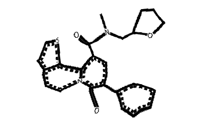 CN(CC1CCCO1)C(=O)c1cc(-c2ccccc2)c(=O)n2ccc3ccsc3c12